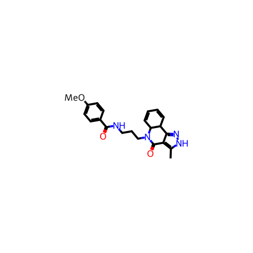 COc1ccc(C(=O)NCCCN2C(=O)c3c(n[nH]c3C)C3C=CC=CC32)cc1